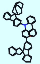 c1ccc(-c2ccccc2N(c2ccc(-c3ccc4c(c3)C3(Cc5ccccc5C3)c3ccccc3-4)cc2)c2ccc3c(c2)C2(CC4CC5CCC2CC(C5)C4)c2ccccc2-3)cc1